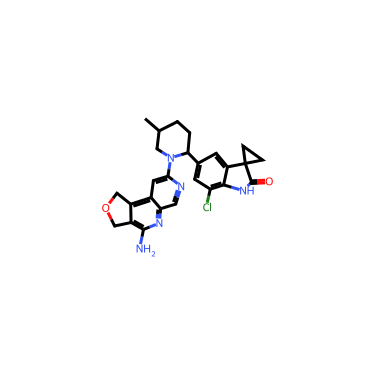 CC1CCC(c2cc(Cl)c3c(c2)C2(CC2)C(=O)N3)N(c2cc3c4c(c(N)nc3cn2)COC4)C1